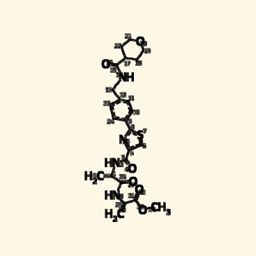 C=C(NC(=O)c1csc(-c2ccc(CNC(=O)C3CCOCC3)cc2)n1)C(=O)NC(=C)C(=O)OC